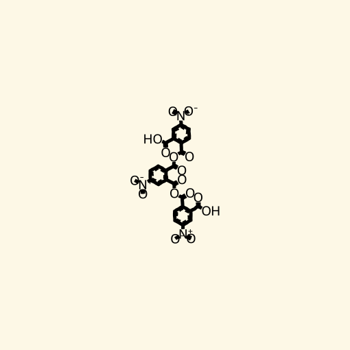 O=C(O)c1cc([N+](=O)[O-])ccc1C(=O)OC(=O)c1ccc([N+](=O)[O-])cc1C(=O)OC(=O)c1ccc([N+](=O)[O-])cc1C(=O)O